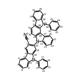 N#Cc1cc2c3ccccc3n(-c3ccccc3)c2cc1-n1c2ccccc2c2c1ccc1c3ccccc3n(-c3ccccc3)c12